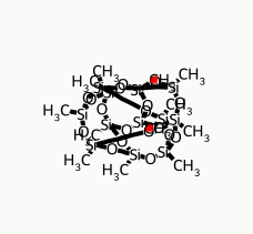 C[Si]12O[Si]3(C)O[Si]4(C)O[Si](C)(O1)O[Si]1(C)O[Si]5(C)O[Si]6(C)O[Si](C)(O1)O[Si](C)(O2)O[Si](C)(O3)O[Si](C)(O6)O[Si](C)(O5)O4